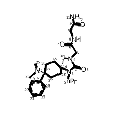 CCCN1C(=O)N(CC(=O)NCC(N)=O)C[C@]12CC[C@@](c1ccccc1)(N(C)C)CC2